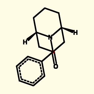 O=C1C[C@H]2CCC[C@@H](C1)N2Cc1ccccc1